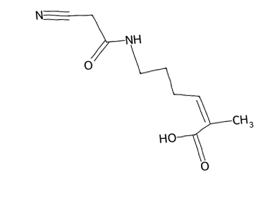 CC(=CCCCNC(=O)CC#N)C(=O)O